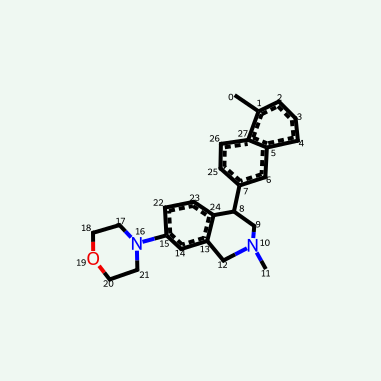 Cc1cccc2cc(C3CN(C)Cc4cc(N5CCOCC5)ccc43)ccc12